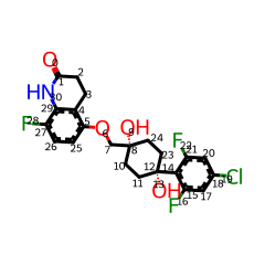 O=C1CCc2c(OC[C@]3(O)CC[C@](O)(c4c(F)cc(Cl)cc4F)CC3)ccc(F)c2N1